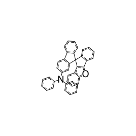 c1ccc(N(c2ccccc2)c2ccc3c(c2)C2(c4ccccc4-3)c3ccccc3-c3oc4ccccc4c32)cc1